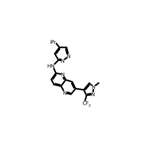 CC(C)c1cnnc(Nc2ccc3ncc(-c4cn(C)nc4C(F)(F)F)cc3n2)c1